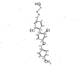 CCc1cc(CCCCO)ccc1-c1ccc(OCc2ccc(C)cc2)cc1CC